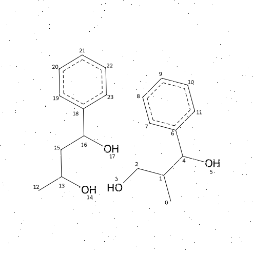 CC(CO)C(O)c1ccccc1.CC(O)CC(O)c1ccccc1